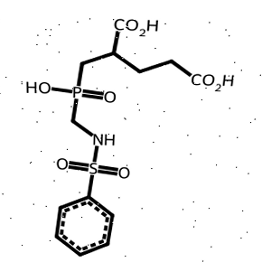 O=C(O)CCC(CP(=O)(O)CNS(=O)(=O)c1ccccc1)C(=O)O